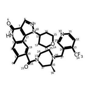 Cc1cc2[nH]c(=O)c3cnn(C4CCOCC4)c3c2cc1C(=O)N1CCN(Cc2cnccc2C(F)(F)F)[C@@H](C)C1